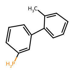 Cc1ccccc1-c1cccc(P)c1